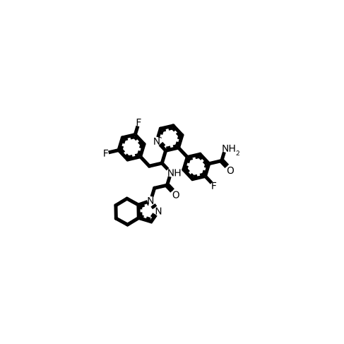 NC(=O)c1cc(-c2cccnc2C(Cc2cc(F)cc(F)c2)NC(=O)Cn2ncc3c2CCCC3)ccc1F